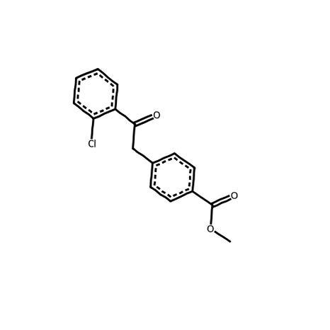 COC(=O)c1ccc(CC(=O)c2ccccc2Cl)cc1